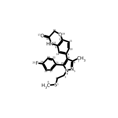 CSCCn1nc(C)c(-c2ccc3c(c2)NC(=O)CO3)c1-c1ccc(F)cc1